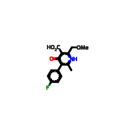 COCc1[nH]c(C)c(-c2ccc(F)cc2)c(=O)c1C(=O)O